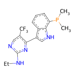 CCNc1ncc(C(F)(F)F)c(-c2c[nH]c3c(P(C)C)cccc23)n1